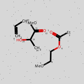 C=CC.CCC(=O)OCCOC.COC(=O)C(C)O